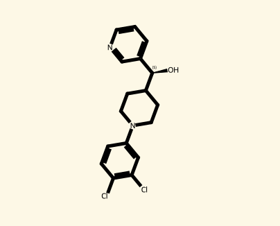 O[C@H](c1cccnc1)C1CCN(c2ccc(Cl)c(Cl)c2)CC1